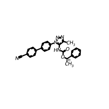 Cc1nnn(-c2ccc(-c3ccc(C#N)cc3)cc2)c1NC(=O)O[C@H](C)c1ccccc1